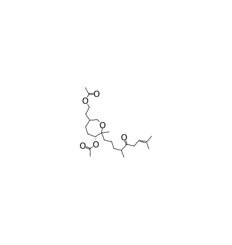 CC(=O)OCCC1CC[C@@H](OC(C)=O)C(C)(CCCC(C)C(=O)CC=C(C)C)OC1